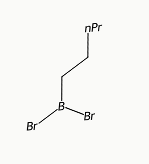 CCCCCB(Br)Br